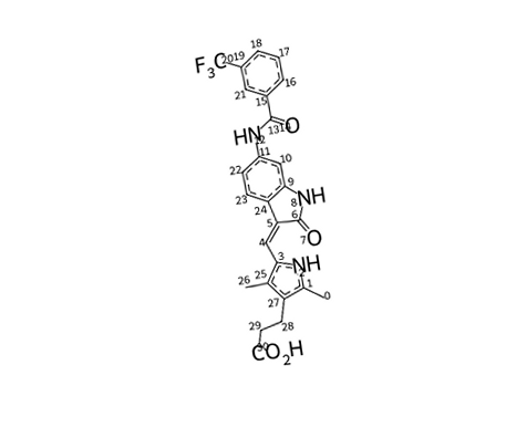 Cc1[nH]c(/C=C2\C(=O)Nc3cc(NC(=O)c4cccc(C(F)(F)F)c4)ccc32)c(C)c1CCC(=O)O